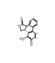 Cc1cc(-c2ccccc2C2CCOC2=O)ccc1Cl